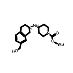 CC(C)(C)OC(=O)N1CCC(N[C@@H]2CCc3ccc(CO)cc3C2)CC1